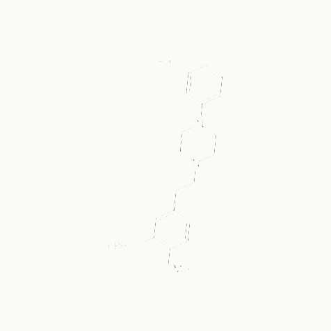 CCCCCc1cc(CCN2CCN(c3cccc(C(F)(F)F)c3)CC2)ccc1OC